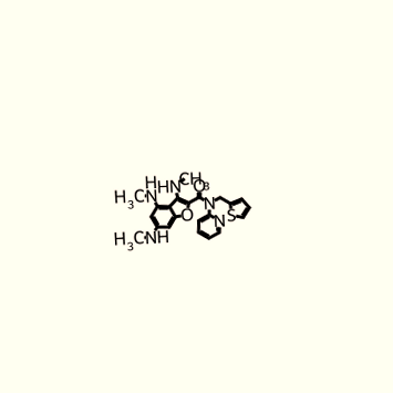 CNc1cc(NC)c2c(NC)c(C(=O)N(Cc3cccs3)c3ccccn3)oc2c1